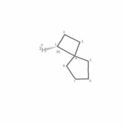 [2H][C@@H]1CCC12CCCC2